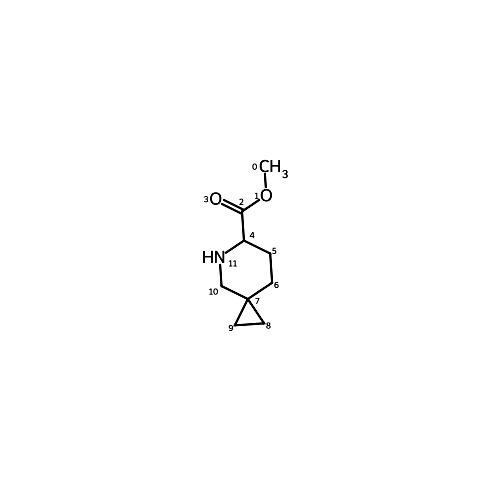 COC(=O)C1CCC2(CC2)CN1